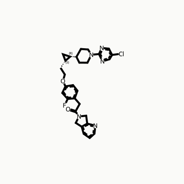 O=C(Cc1ccc(OCC[C@@H]2C[C@@H]2C2CCN(c3ncc(Cl)cn3)CC2)cc1F)N1Cc2cccnc2C1